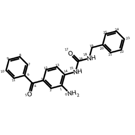 Nc1cc(C(=O)c2ccccc2)ccc1NC(=O)NCc1ccccc1